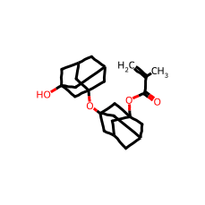 C=C(C)C(=O)OC12CC3CC(C1)CC(OC14CC5CC(CC(O)(C5)C1)C4)(C3)C2